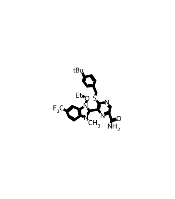 CCON1c2cc(C(F)(F)F)ccc2N(C)C1c1nc(C(N)=O)cnc1SCc1ccc(C(C)(C)C)cc1